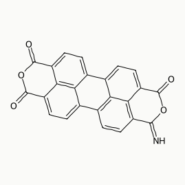 N=C1OC(=O)c2ccc3c4ccc5c6c(ccc(c7ccc1c2c73)c64)C(=O)OC5=O